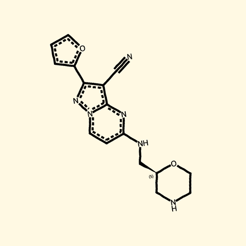 N#Cc1c(-c2ccco2)nn2ccc(NC[C@@H]3CNCCO3)nc12